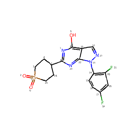 O=S1(=O)CCC(c2nc(O)c3cnn(-c4ccc(F)cc4F)c3n2)CC1